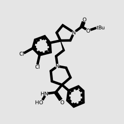 CC(C)(C)OC(=O)N1CC[C@@](CCN2CCC(C(=O)NO)(c3ccccc3)CC2)(c2ccc(Cl)c(Cl)c2)C1